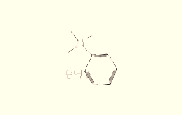 B.C[N+](C)(C)c1ccccc1